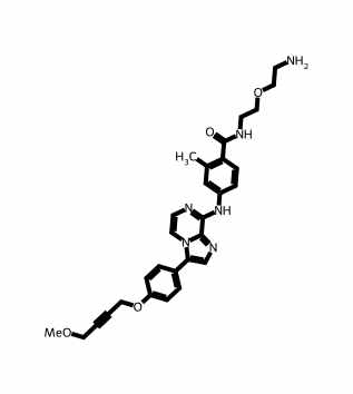 COCC#CCOc1ccc(-c2cnc3c(Nc4ccc(C(=O)NCCOCCN)c(C)c4)nccn23)cc1